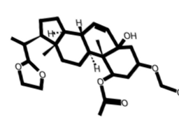 COCOC1CC(OC(C)=O)[C@]2(C)[C@H]3CC[C@]4(C)[C@@H](C(C)C5OCCO5)CC[C@H]4[C@@H]3C=CC2(O)C1